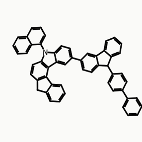 c1ccc(-c2ccc(C3c4ccccc4-c4cc(-c5ccc6c(c5)c5c7c(ccc5n6-c5cccc6ccccc56)Cc5ccccc5-7)ccc43)cc2)cc1